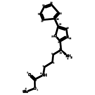 CC(C)(C)OC(=O)NCCC[C@H](N)c1ncc(-c2ccccc2)o1